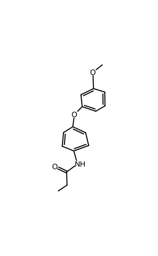 CCC(=O)Nc1ccc(Oc2cccc(OC)c2)cc1